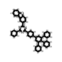 c1ccc(-c2nc(-c3ccc(-c4cc(-c5ccccc5)c(-c5ccccc5)c(-c5ccccc5)c4)cc3)nc(-c3ccc4oc5ccccc5c4c3)n2)cc1